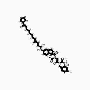 C[C@H](N(Cc1ccc(F)cc1)C(=O)CN1C(=O)OC2(CCc3cc(NC(=O)CCC(=O)CCCCCCCC(=O)C4CCCC4)ccc32)C1=O)C(F)(F)F